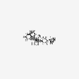 Cl.O=C(Nc1ccc(-n2cncn2)cc1)Nc1ccnc2ccccc12